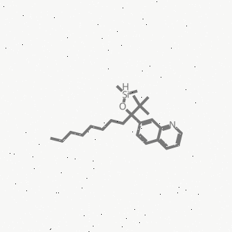 CCCCCCCCC(O[SiH](C)C)(c1ccc2cccnc2c1)C(C)(C)C